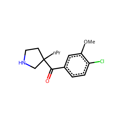 CCCC1(C(=O)c2ccc(Cl)c(OC)c2)CCNC1